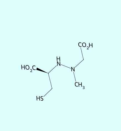 CN(CC(=O)O)N[C@@H](CS)C(=O)O